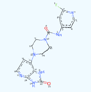 O=C(Nc1ccnc(F)c1)N1CCN(c2ccnc3[nH]c(=O)[nH]c23)CC1